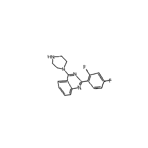 Fc1ccc(-c2nc(N3CCNCC3)c3ccccc3n2)c(F)c1